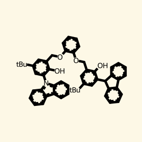 CC(C)(C)c1cc(COc2ccccc2OCc2cc(C(C)(C)C)cc(-n3c4ccccc4c4ccccc43)c2O)c(O)c(C2c3ccccc3-c3ccccc32)c1